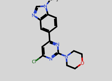 Cn1cnc2cc(-c3cc(Cl)nc(N4CCOCC4)n3)ccc21